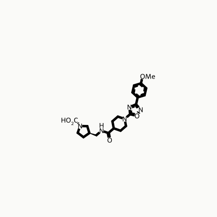 COc1ccc(-c2noc(N3CCC(C(=O)NC[C@H]4CCN(C(=O)O)C4)CC3)n2)cc1